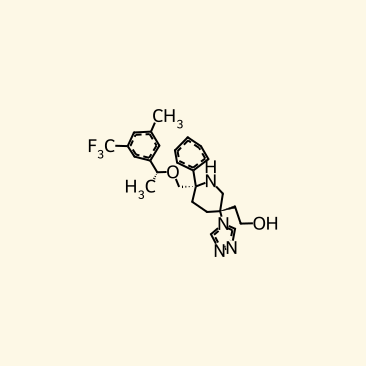 Cc1cc([C@@H](C)OC[C@@]2(c3ccccc3)CC[C@@](CCO)(n3cnnc3)CN2)cc(C(F)(F)F)c1